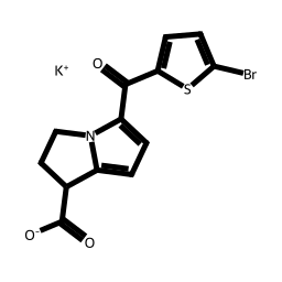 O=C(c1ccc(Br)s1)c1ccc2n1CCC2C(=O)[O-].[K+]